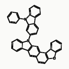 c1ccc(-n2c3ccccc3c3ccc(-n4c5ccccc5c5cc6ccc7oc8ccccc8c7c6cc54)cc32)cc1